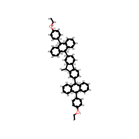 CCOc1ccc(-c2c3ccccc3c(-c3ccc4c(c3)C(C)c3cc(-c5c6ccccc6c(-c6ccc(OCC)cc6)c6ccccc56)ccc3-4)c3ccccc23)cc1